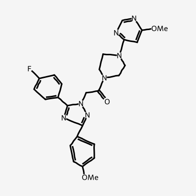 COc1ccc(-c2nc(-c3ccc(F)cc3)n(CC(=O)N3CCN(c4cc(OC)ncn4)CC3)n2)cc1